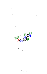 Fc1cc(Cl)ncc1-c1ncc(CN2CC(OC(F)F)C2)cc1F